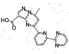 Cc1cc(-c2cccc(-c3ncccn3)n2)nc2c(C(=O)O)cnn12